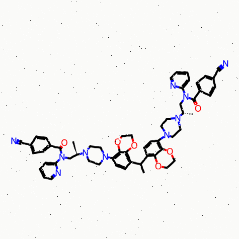 CC(c1ccc(N2CCN([C@H](C)CN(C(=O)c3ccc(C#N)cc3)c3ccccn3)CC2)c2c1OCCO2)c1ccc(N2CCN([C@@H](C)CN(C(=O)c3ccc(C#N)cc3)c3ccccn3)CC2)c2c1OCCO2